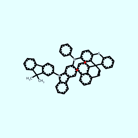 CC1(C)c2ccccc2-c2ccc(-n3c4ccccc4c4ccc(N(c5ccccc5)c5ccc6c(c5)C5(c7ccccc7S6)c6ccccc6-c6cccc7cccc5c67)cc43)cc21